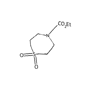 CCOC(=O)N1CCS(=O)(=O)CC1